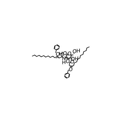 CCCCCCCCCCC[C@H](CC(=O)N[C@@H]1[C@@H](OC(=O)C[C@@H](CCCCCCCCCCC)OCc2ccccc2)[C@H](O)[C@@H](CO)O[C@@H]1O)OCc1ccccc1